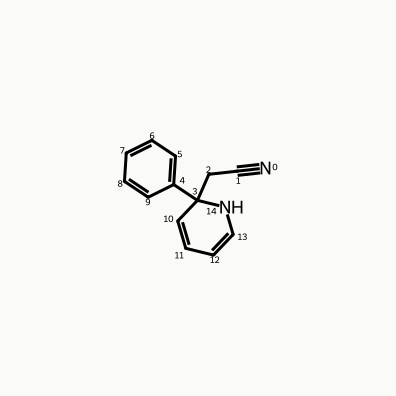 N#CCC1(c2ccccc2)C=CC=CN1